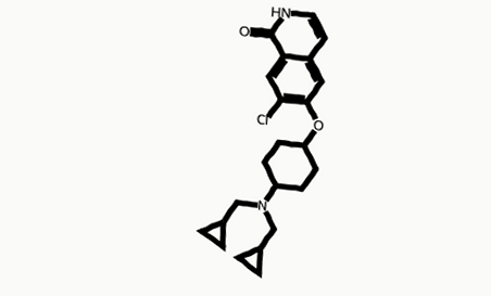 O=c1[nH]ccc2cc(OC3CCC(N(CC4CC4)CC4CC4)CC3)c(Cl)cc12